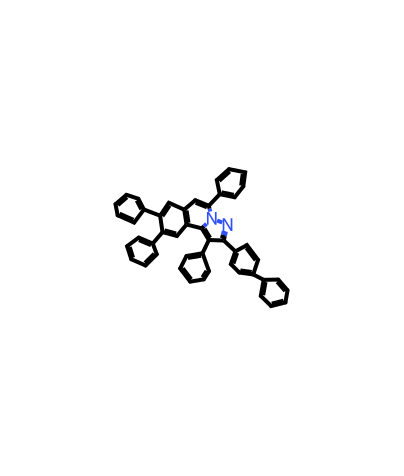 c1ccc(-c2ccc(-c3nn4c(-c5ccccc5)cc5cc(-c6ccccc6)c(-c6ccccc6)cc5c4c3-c3ccccc3)cc2)cc1